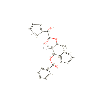 CC(OC(=O)C(=O)c1ccccc1)C(C)C(OC(=O)c1ccccc1)c1ccccc1